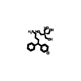 OC[P+](CO)(CO)CO.PCCCC(c1ccccc1)c1ccccc1.[Cl-]